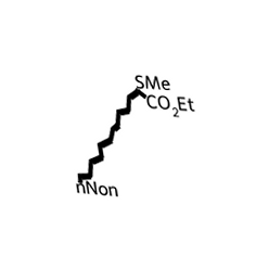 CCCCCCCCCC=CC=CC=CC=CC=CC=C(SC)C(=O)OCC